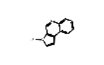 CCCn1ccc2c3ccccc3ncc21